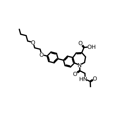 CCCCOCCOc1ccc(-c2ccc3c(c2)C=C(C(=O)O)CCN3C(=O)CNC(C)=O)cc1